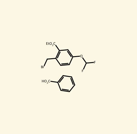 CCOC(=O)c1cc(OC(F)F)ccc1CBr.O=C(O)c1ccccc1